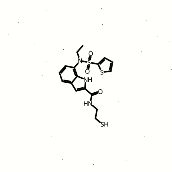 CCN(c1cccc2cc(C(=O)NCCS)[nH]c12)S(=O)(=O)c1cccs1